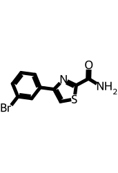 NC(=O)c1nc(-c2cccc(Br)c2)cs1